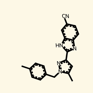 Cc1ccc(Cn2nc(-c3nc4ccc(C#N)cc4[nH]3)cc2C)cc1